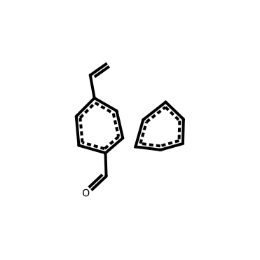 C=Cc1ccc(C=O)cc1.c1ccccc1